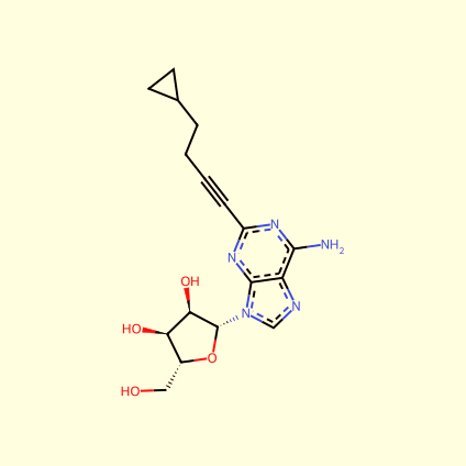 Nc1nc(C#CCCC2CC2)nc2c1ncn2[C@@H]1O[C@H](CO)[C@@H](O)[C@H]1O